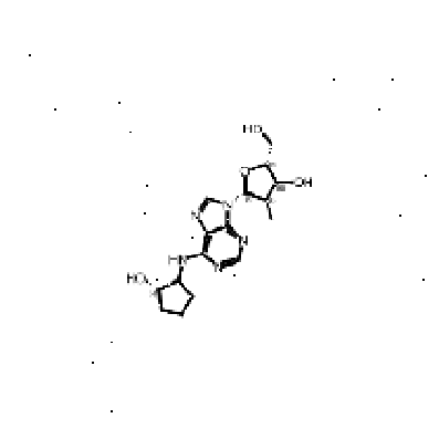 C[C@@H]1[C@H](O)[C@@H](CO)O[C@H]1n1cnc2c(NC3CCC[C@@H]3O)ncnc21